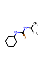 CC(C)NC(=S)NC1CCCCC1